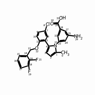 Cc1ccc(-c2cc(Cl)ccc2OCc2cccc(F)c2F)n1-c1cc(N)cc(C(=O)O)c1